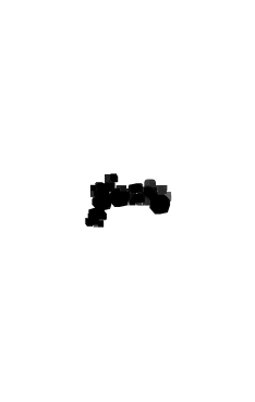 CN=Cc1cnn2cc(-c3cnn(C)c3)cc(-c3ccc(N4CCN(C(=O)C(OC)(c5ccccc5)C(F)(F)F)CC4)nc3)c12